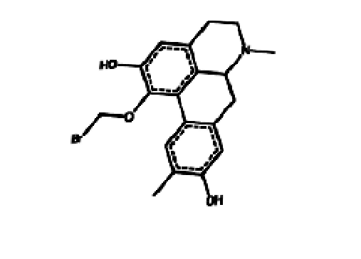 Cc1cc2c(cc1O)CC1c3c(cc(O)c(OCBr)c3-2)CCN1C